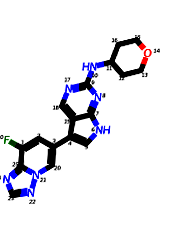 Fc1cc(-c2c[nH]c3nc(NC4CCOCC4)ncc23)cn2ncnc12